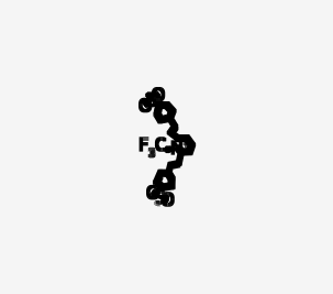 CS(=O)(=O)c1ccc(/C=C/c2cccc(/C=C/c3ccc(S(C)(=O)=O)cc3)[n+]2CC(F)(F)F)cc1